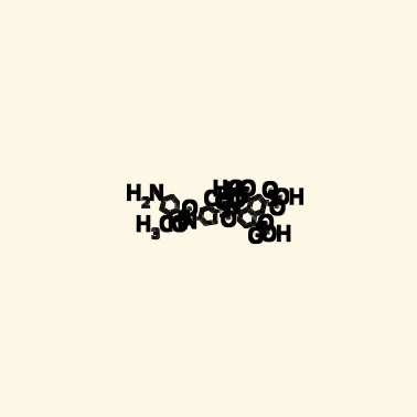 Cc1cc(N)ccc1S(=O)(=O)Nc1ccc(S(=O)(=O)Nc2ccc(S(=O)(=O)O)c3cc(S(=O)(=O)O)cc(S(=O)(=O)O)c23)c(C)c1